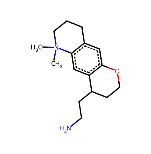 C[N+]1(C)CCCc2cc3c(cc21)C(CCN)CCO3